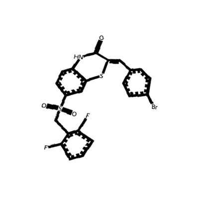 O=C1Nc2ccc(S(=O)(=O)Cc3c(F)cccc3F)cc2SC1=Cc1ccc(Br)cc1